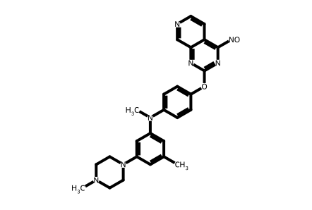 Cc1cc(N2CCN(C)CC2)cc(N(C)c2ccc(Oc3nc(N=O)c4ccncc4n3)cc2)c1